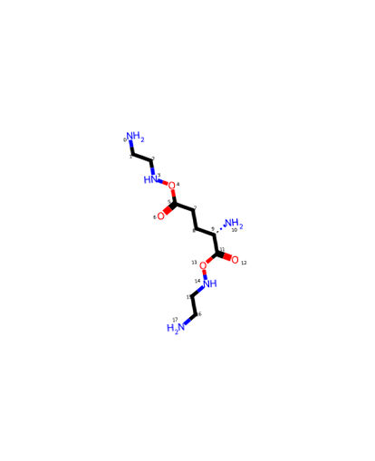 NCCNOC(=O)CC[C@H](N)C(=O)ONCCN